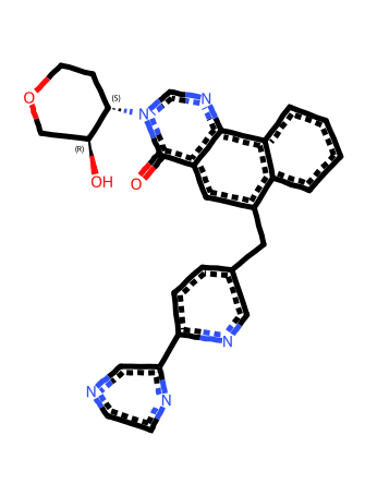 O=c1c2cc(Cc3ccc(-c4cnccn4)nc3)c3ccccc3c2ncn1[C@H]1CCOC[C@@H]1O